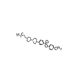 CCCC1CCC(C2CCC(c3ccc(C(=O)Oc4ccc(C)cc4)cc3)CC2)CC1